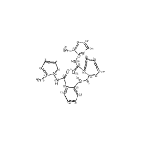 CC(C)c1ccccc1NC(=O)c1ccccc1SSc1ccccc1C(=O)Nc1ccccc1C(C)C